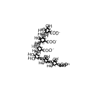 O=C([O-])c1cc(O)c(O)c(O)c1.O=C([O-])c1cc(O)c(O)c(O)c1.O=C([O-])c1cc(O)c(O)c(O)c1.O=C([O-])c1cc(O)c(O)c(O)c1.O=C([O-])c1cc(O)c(O)c(O)c1.O=C([O-])c1cc(O)c(O)c(O)c1.[La+3].[Nd+3]